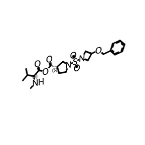 CN[C@H](C(=O)OC(=O)[C@H]1CCN(S(=O)(=O)N2CC(OCc3ccccc3)C2)C1)C(C)C